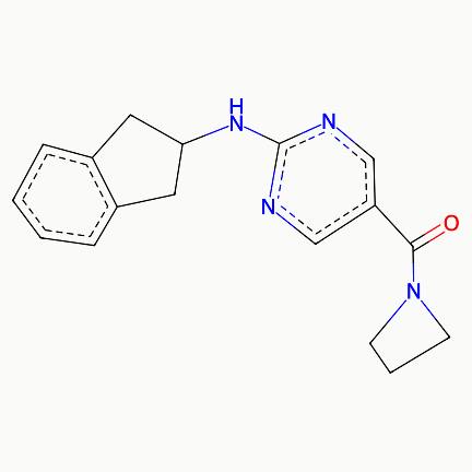 O=C(c1cnc(NC2Cc3ccccc3C2)nc1)N1CCC1